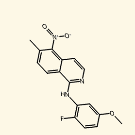 COc1ccc(F)c(Nc2nccc3c([N+](=O)[O-])c(C)ccc23)c1